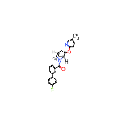 C[C@@H]1[C@H]2C[C@@H](Oc3ccc(C(F)(F)F)cn3)[C@H](C2)N1C(=O)c1cccc(-c2ccc(F)cc2)c1